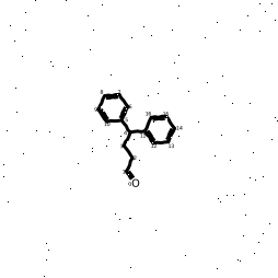 O=[C]CCC(c1ccccc1)c1ccccc1